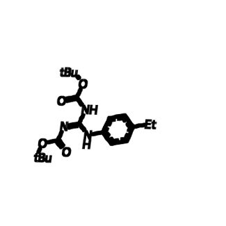 CCc1ccc(N/C(=N\C(=O)OC(C)(C)C)NC(=O)OC(C)(C)C)cc1